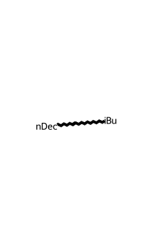 [CH2]CCCCCCCCCCCCCCC=CCCCCCCCCCC(C)C[CH2]